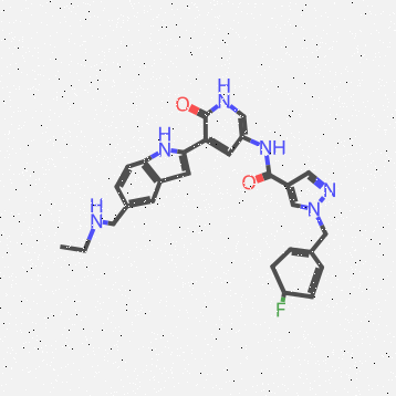 CCNCc1ccc2[nH]c(-c3cc(NC(=O)c4cnn(CC5=CCC(F)C=C5)c4)c[nH]c3=O)cc2c1